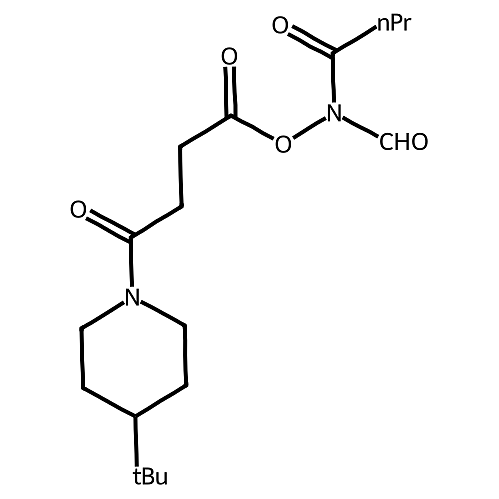 CCCC(=O)N(C=O)OC(=O)CCC(=O)N1CCC(C(C)(C)C)CC1